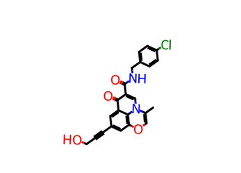 CC1=COc2cc(C#CCO)cc3c(=O)c(C(=O)NCc4ccc(Cl)cc4)cn1c23